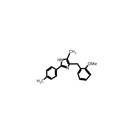 COc1ccccc1Cc1nc(-c2ccc(C)cc2)[nH]c1C